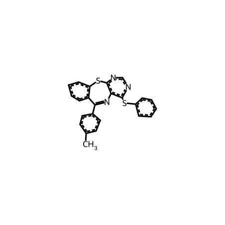 Cc1ccc(C2=Nc3c(Sc4ccccc4)ncnc3Sc3ccccc32)cc1